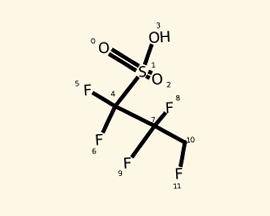 O=S(=O)(O)C(F)(F)C(F)(F)CF